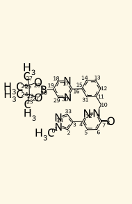 Cn1cc(-c2ccc(=O)n(Cc3cccc(-c4ncc(B5OC(C)(C)C(C)(C)O5)cn4)c3)n2)cn1